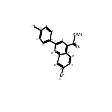 COC(=O)c1cc(-c2ccc(I)cc2)nc2cc(Br)ccc12